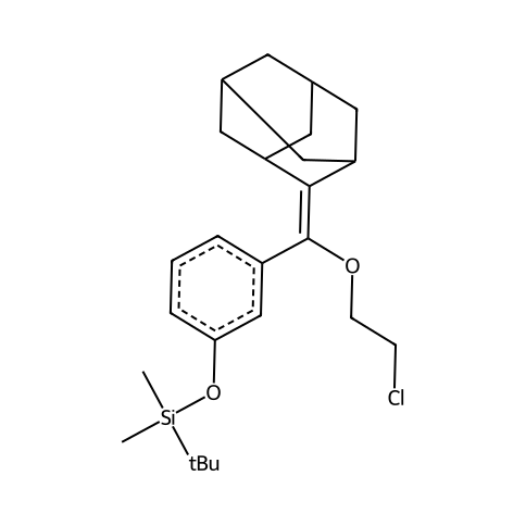 CC(C)(C)[Si](C)(C)Oc1cccc(C(OCCCl)=C2C3CC4CC(C3)CC2C4)c1